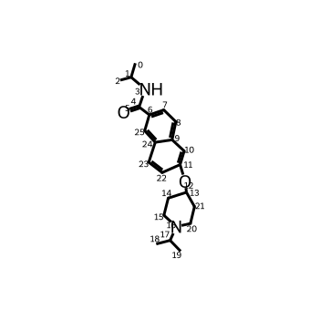 CC(C)NC(=O)c1ccc2cc(OC3CCN(C(C)C)CC3)ccc2c1